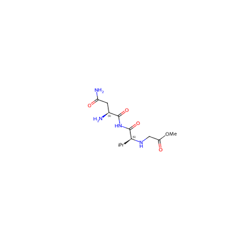 COC(=O)CN[C@H](C(=O)NC(=O)[C@@H](N)CC(N)=O)C(C)C